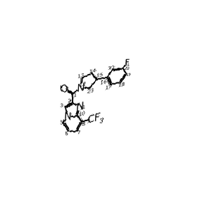 O=C(c1cn2cccc(C(F)(F)F)c2n1)N1CCC(c2cccc(F)c2)C1